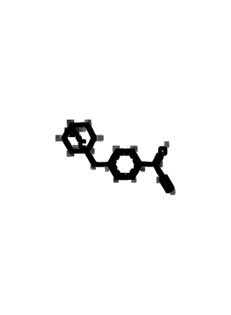 C#CC(=O)c1ccc(CC23CCC(CC2)NC3)cc1